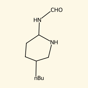 CCCCC1CCC(NC=O)NC1